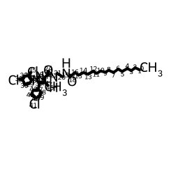 CCCCCCCCCCCCCCCCCC(=O)NCCNC(=O)c1nn(-c2ccc(Cl)cc2Cl)c(-c2ccc(Cl)cc2)c1C